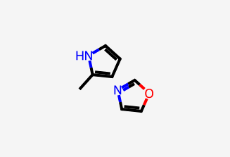 Cc1ccc[nH]1.c1cocn1